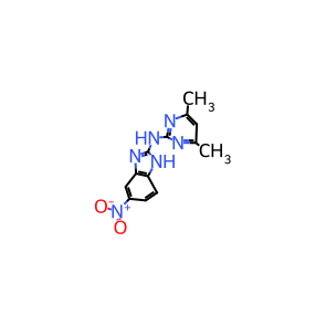 Cc1cc(C)nc(Nc2nc3cc([N+](=O)[O-])ccc3[nH]2)n1